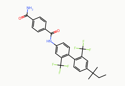 CCC(C)(C)c1ccc(-c2ccc(NC(=O)c3ccc(C(N)=O)cc3)cc2C(F)(F)F)c(C(F)(F)F)c1